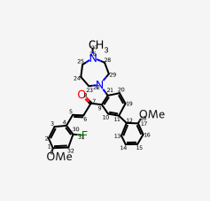 COc1ccc(/C=C/C(=O)c2cc(-c3ccccc3OC)ccc2N2CCCN(C)CC2)c(F)c1